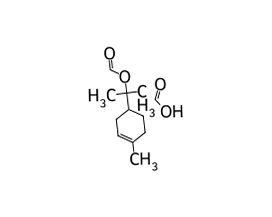 CC1=CCC(C(C)(C)OC=O)CC1.O=CO